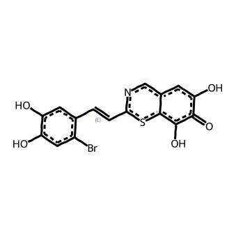 O=c1c(O)cc2cnc(/C=C/c3cc(O)c(O)cc3Br)sc-2c1O